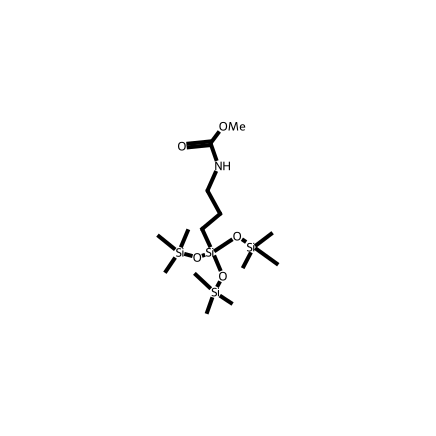 COC(=O)NCCC[Si](O[Si](C)(C)C)(O[Si](C)(C)C)O[Si](C)(C)C